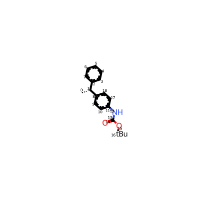 C[C@H](c1ccccc1)c1ccc(NC(=O)OC(C)(C)C)cc1